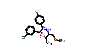 CC(C)(C)SCC(CC(F)(F)F)N[C@H](c1ccc(Cl)cc1)[C@H](O)c1cccc(Cl)c1